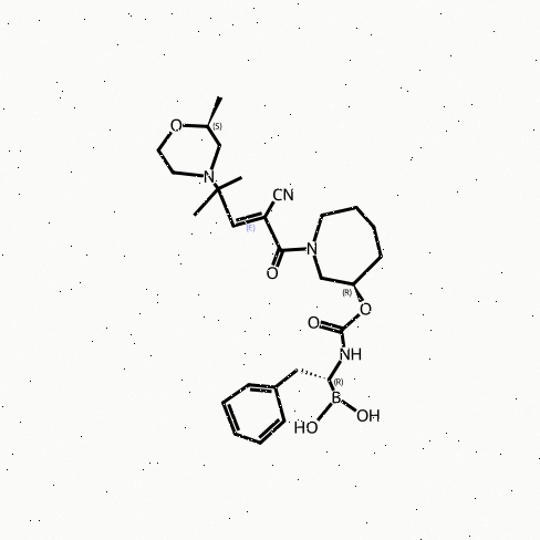 C[C@H]1CN(C(C)(C)/C=C(\C#N)C(=O)N2CCCC[C@@H](OC(=O)N[C@@H](Cc3ccccc3)B(O)O)C2)CCO1